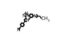 CCCC1CN(c2ccc3c(c2)Cn2cc(-c4ccc(C#N)cc4)cc2-c2ncnn2-3)C1